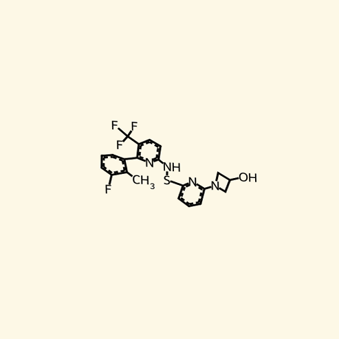 Cc1c(F)cccc1-c1nc(NSc2cccc(N3CC(O)C3)n2)ccc1C(F)(F)F